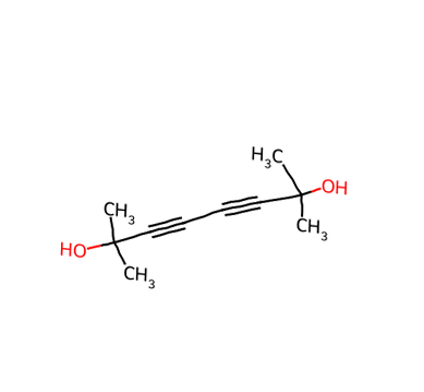 CC(C)(O)C#CC#CC(C)(C)O